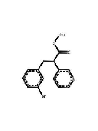 CC(C)(C)OC(=O)C(Cc1cccc(Br)c1)c1cccnc1